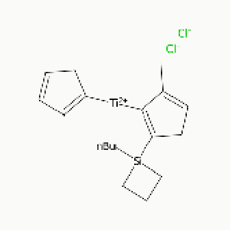 CCCC[Si]1(C2=[C]([Ti+2][C]3=CC=CC3)C(C)=CC2)CCC1.[Cl-].[Cl-]